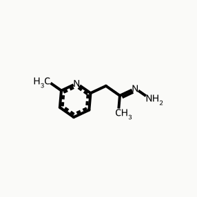 C/C(Cc1cccc(C)n1)=N\N